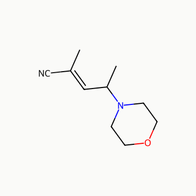 CC(C#N)=CC(C)N1CCOCC1